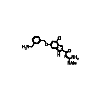 CNC(N)=NC(=O)c1cc2c(Cl)cc(OCc3cccc(CN)c3)cc2[nH]1